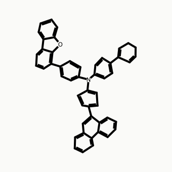 C1=CC(c2ccc(N(c3ccc(-c4cc5ccccc5c5ccccc45)cc3)c3ccc(-c4cccc5c4oc4ccccc45)cc3)cc2)=CCC1